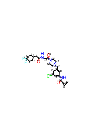 O=C(CC1CCC(F)(F)CC1)NCC(=O)N1CCN(Cc2cc(Cl)cc(NC(=O)C3CC3)c2)CC1